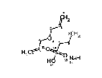 C=CCOCC=C.CCCS(=O)(=O)O.[NaH]